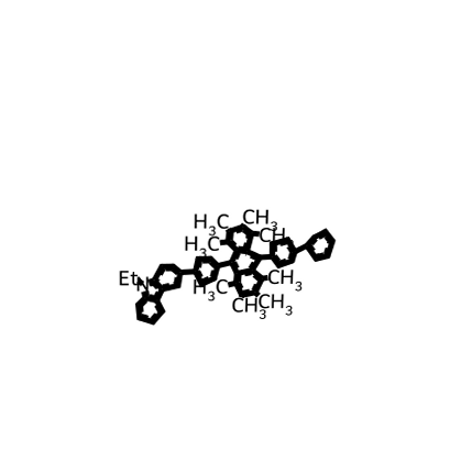 CCn1c2ccccc2c2cc(-c3ccc(-c4c5c(C)c(C)c(C)c(C)c5c(-c5ccc(-c6ccccc6)cc5)c5c(C)c(C)c(C)c(C)c45)cc3)ccc21